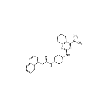 CN(C)c1nc(N[C@H]2CC[C@@H](NC(=O)Cc3cccc4ccccc34)CC2)nc2c1CCCC2